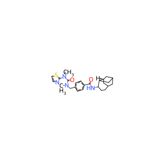 CN(Cc1ccc(C(=O)NC2CCC3CC4CC2[C@@H](C3)C4)cc1)C(=O)N(C)c1nccs1